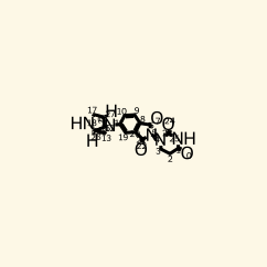 O=C1CCN(N2C(=O)c3ccc(N4C[C@@H]5C[C@H]4CN5)cc3C2=O)C(=O)N1